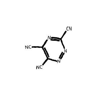 N#Cc1nnc(C#N)c(C#N)n1